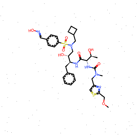 COCc1nc(CN(C)C(=O)N[C@H](C(=O)N[C@@H](Cc2ccccc2)[C@H](O)CN(CC2CCC2)S(=O)(=O)c2ccc(C=NO)cc2)[C@H](C)O)cs1